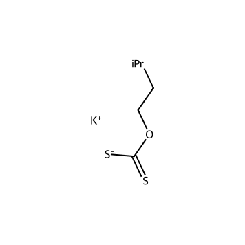 CC(C)CCOC(=S)[S-].[K+]